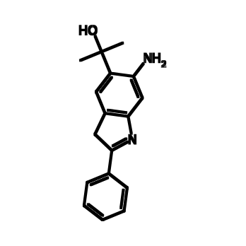 CC(C)(O)c1cc2c(cc1N)N=C(c1ccccc1)C2